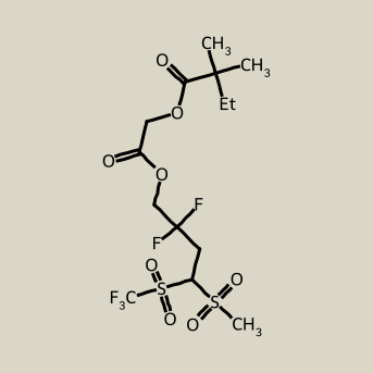 CCC(C)(C)C(=O)OCC(=O)OCC(F)(F)CC(S(C)(=O)=O)S(=O)(=O)C(F)(F)F